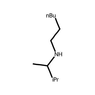 CCCCCCNC(C)C(C)C